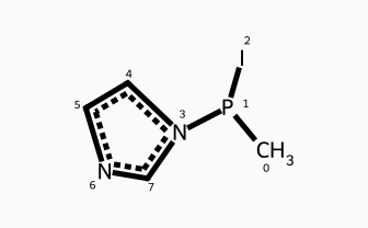 CP(I)n1ccnc1